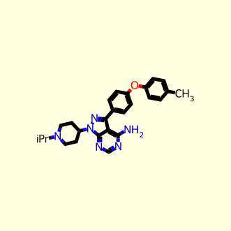 Cc1ccc(Oc2ccc(-c3nn(C4CCN(C(C)C)CC4)c4ncnc(N)c34)cc2)cc1